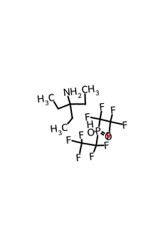 CCC(N)(CC)CC.O=P(O)(C(F)(F)C(F)(F)F)C(F)(F)C(F)(F)F